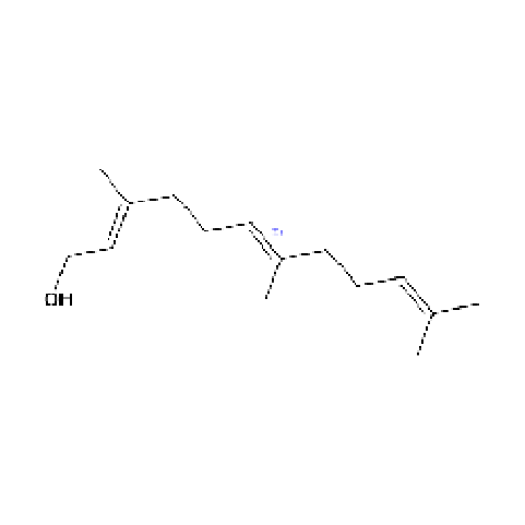 CC(C)=CCC/C(C)=C/CCC(C)=CCO